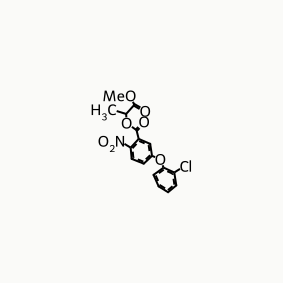 COC(=O)C(C)OC(=O)c1cc(Oc2ccccc2Cl)ccc1[N+](=O)[O-]